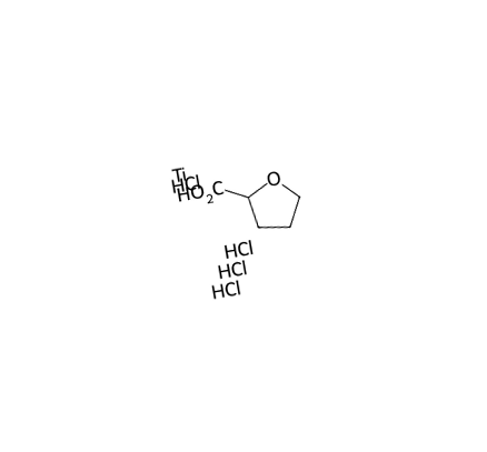 Cl.Cl.Cl.Cl.O=C(O)C1CCCO1.[Ti]